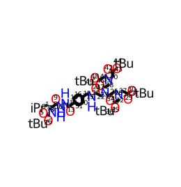 CC(C)C[C@@H](NC(=O)OC(C)(C)C)C(=O)NNC(=O)c1ccc(CNC(=O)CN(CCN(CC(=O)OC(C)(C)C)CC(=O)OC(C)(C)C)CCN(CC(=O)OC(C)(C)C)CC(=O)OC(C)(C)C)cc1